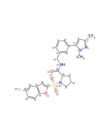 Cn1nc(C(F)(F)F)cc1-c1cccc(CNC(=O)C2CCCN2S(=O)(=O)c2cc3cc(F)ccc3o2)c1